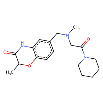 CC1Oc2ccc(CN(C)CC(=O)N3CCCCC3)cc2NC1=O